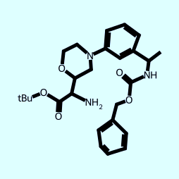 CC(NC(=O)OCc1ccccc1)c1cccc(N2CCOC(C(N)C(=O)OC(C)(C)C)C2)c1